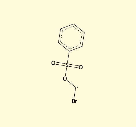 O=S(=O)(O[CH]Br)c1ccccc1